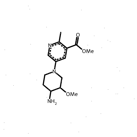 COC(=O)c1cc(N2CCC(N)C(OC)C2)cnc1C